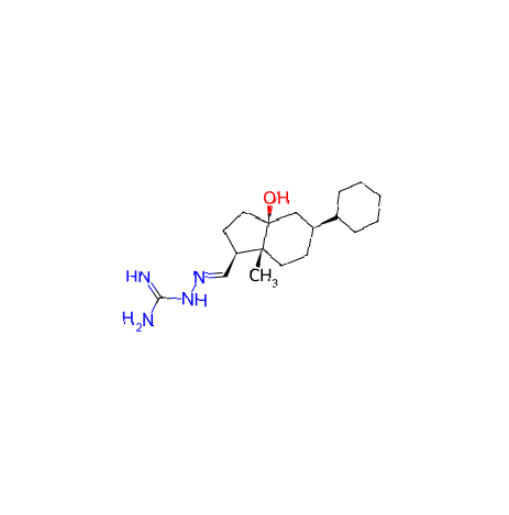 C[C@]12CC[C@H](C3CCCCC3)C[C@@]1(O)CC[C@@H]2/C=N/NC(=N)N